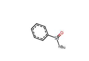 CCC[CH2][Sn](=[O])[c]1ccccc1